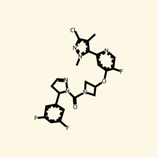 Cc1c(Cl)nn(C)c1-c1cc(OC2CN(C(=O)N3N=CCC3c3cc(F)cc(F)c3)C2)c(F)cn1